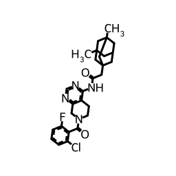 CC12CC3CC(C)(C1)CC(CC(=O)Nc1ncnc4c1CCN(C(=O)c1c(F)cccc1Cl)C4)(C3)C2